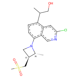 CC(CO)c1ccc(N2C[C@H](CS(C)(=O)=O)[C@H]2C)c2cnc(Cl)cc12